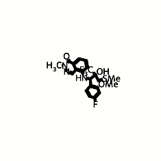 COc1cc(F)ccc1C(Nc1cccc2c(=O)n(C)ncc12)C(O)(CSC)C(F)(F)F